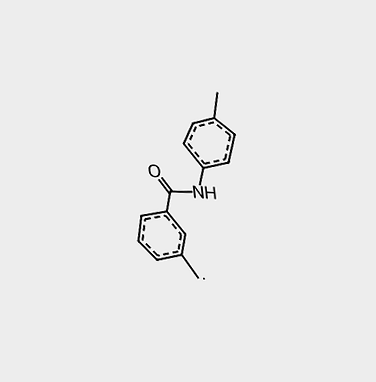 [CH2]c1cccc(C(=O)Nc2ccc(C)cc2)c1